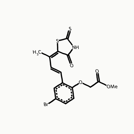 COC(=O)COc1ccc(Br)cc1C=CC(C)=C1SC(=S)NC1=O